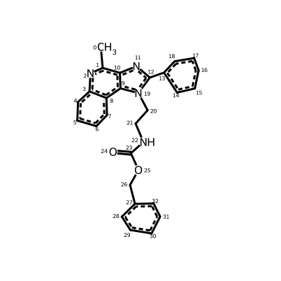 Cc1nc2ccccc2c2c1nc(-c1ccccc1)n2CCNC(=O)OCc1ccccc1